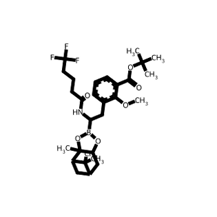 COc1c(CC(NC(=O)CCCC(F)(F)F)B2OC3CC4CC(C4(C)C)C3(C)O2)cccc1C(=O)OC(C)(C)C